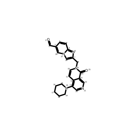 O=Cc1ccc2nc(Cn3ccc4c(N5CCCCC5)cncc4c3=O)cn2c1